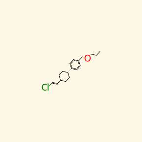 CCCOCc1ccc([C@H]2CC[C@H](/C=C/Cl)CC2)cc1